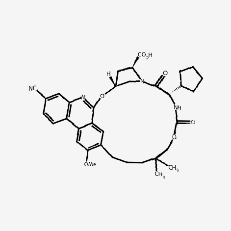 COc1cc2c3cc1CCCC(C)(C)COC(=O)N[C@@H](C1CCCC1)C(=O)N1C[C@@H](C[C@H]1C(=O)O)Oc3nc1cc(C#N)ccc12